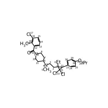 CCC1(CCN(C)C2CCN(C(=O)c3cccc(Cl)c3C)CC2)C(c2ccc(OC(C)C)cc2)C1(Cl)Cl